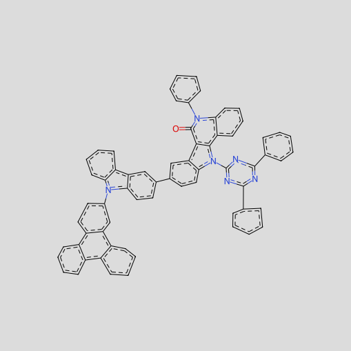 O=c1c2c3cc(-c4ccc5c(c4)c4ccccc4n5-c4ccc5c6ccccc6c6ccccc6c5c4)ccc3n(-c3nc(-c4ccccc4)nc(-c4ccccc4)n3)c2c2ccccc2n1-c1ccccc1